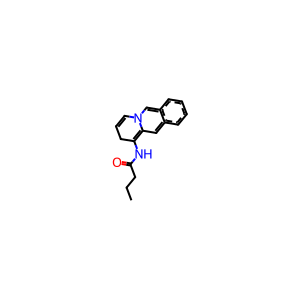 CCCC(=O)NC1=C2C=c3ccccc3=CN2C=CC1